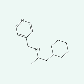 CC(CC1CCCCC1)NCc1[c]cncc1